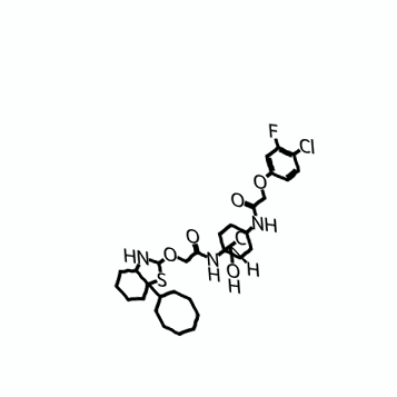 O=C(COc1ccc(Cl)c(F)c1)NC12CCC(NC(=O)COC3NC4CCCCC4(C4CCCCCCC4)S3)(CC1)[C@@H](O)C2